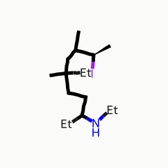 CCNC(CC)CCC(C)(CC)CC(C)[C@@H](C)I